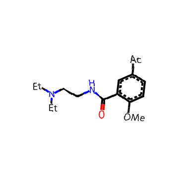 CCN(CC)CCNC(=O)c1cc(C(C)=O)ccc1OC